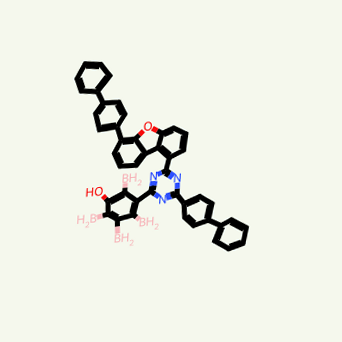 Bc1c(B)c(O)c(B)c(-c2nc(-c3ccc(-c4ccccc4)cc3)nc(-c3cccc4oc5c(-c6ccc(-c7ccccc7)cc6)cccc5c34)n2)c1B